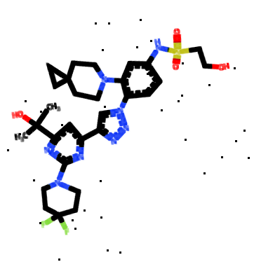 CC(C)(O)c1cc(-c2cn(-c3ccc(NS(=O)(=O)CCO)cc3N3CCC4(CC3)CC4)nn2)nc(N2CCC(F)(F)CC2)n1